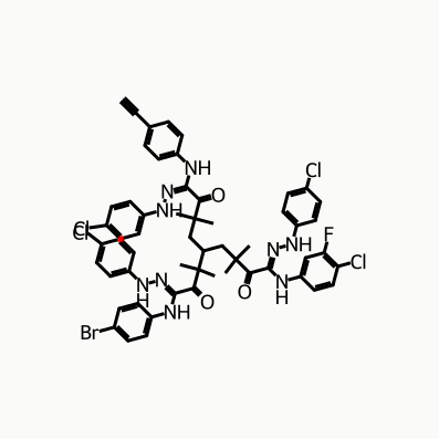 C#Cc1ccc(NC(=NNc2ccc(Cl)cc2)C(=O)C(C)(C)CC(CC(C)(C)C(=O)C(=NNc2ccc(Cl)cc2)Nc2ccc(Cl)c(F)c2)C(C)(C)C(=O)C(=NNc2ccc(Cl)cc2)Nc2ccc(Br)cc2)cc1